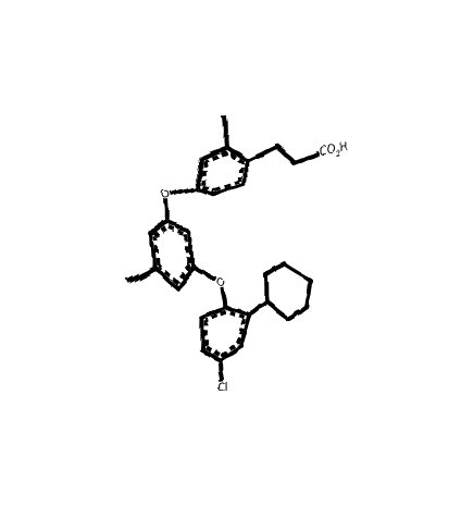 Cc1cc(Oc2ccc(CCC(=O)O)c(C)c2)cc(Oc2ccc(Cl)cc2C2CCCCC2)c1